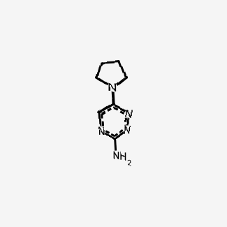 Nc1ncc(N2CCCC2)nn1